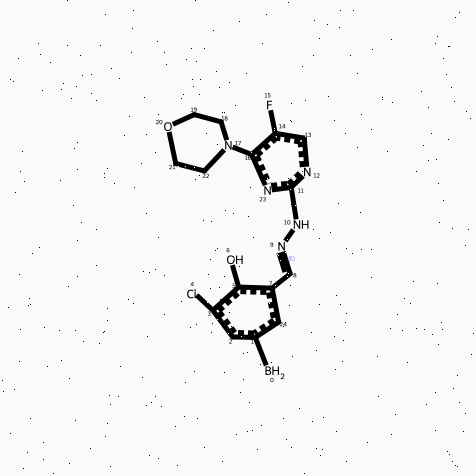 Bc1cc(Cl)c(O)c(/C=N/Nc2ncc(F)c(N3CCOCC3)n2)c1